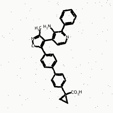 Cc1noc(-c2ccc(-c3ccc(C4(C(=O)O)CC4)cc3)cc2)c1-c1ccnc(-c2ccccc2)c1N